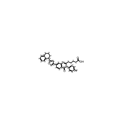 O=C(O)CCCCc1nc2cc(-c3noc(C4CCCc5ccccc54)n3)ccc2c(=O)n1-c1ccc(F)cc1